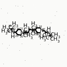 CC(C)(C)NC(=O)CN1CCC(C(C)(C)CCC(C)(C)N2CCC(NC(C)(C)C)CC2)CC1